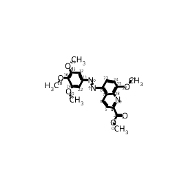 COC(=O)c1ccc2c(N=Nc3cc(OC)c(OC)c(OC)c3)ccc(OC)c2n1